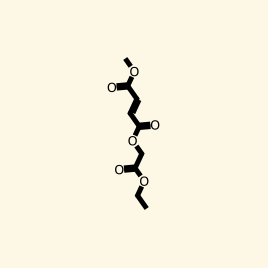 CCOC(=O)COC(=O)/C=C/C(=O)OC